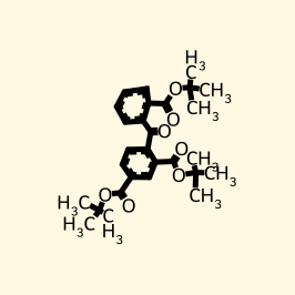 CC(C)(C)OC(=O)c1ccc(C(=O)c2ccccc2C(=O)OC(C)(C)C)c(C(=O)OC(C)(C)C)c1